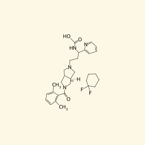 Cc1cccc(C)c1C(=O)N1CC2CN(CCC(NC(=O)O)c3ccccn3)C[C@H]2C1.FC1(F)CCCCC1